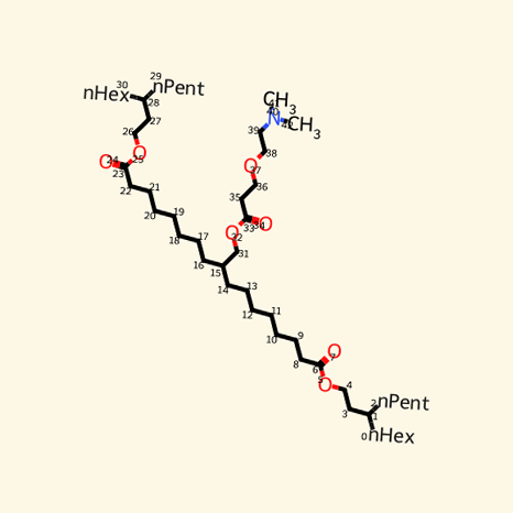 CCCCCCC(CCCCC)CCOC(=O)CCCCCCCC(CCCCCCCC(=O)OCCC(CCCCC)CCCCCC)COC(=O)CCOCCN(C)C